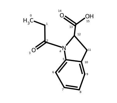 CCC(=O)N1c2ccccc2CC1C(=O)O